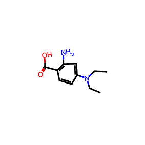 CCN(CC)c1ccc(C(=O)O)c(N)c1